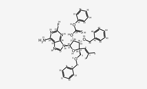 CC(C)=C[C@]1(COCc2ccccc2)O[C@@H](n2cnc3c(N)nc(F)nc32)[C@H](OC(=S)Oc2ccccc2)[C@@H]1OCc1ccccc1